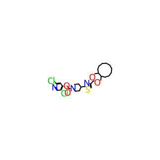 O=C(Oc1cc(Cl)ncc1Cl)N1CCC(c2nc(C3OCC4CCCCCCCCCC4CO3)cs2)CC1